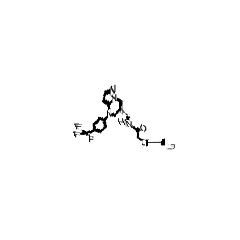 CCC(=O)NC[C@@H]1CN(c2ccc(C(F)(F)F)cc2)c2ccnn2C1